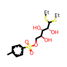 CCSC(SCC)[C@H](O)[C@@H](O)[C@@H](O)COS(=O)(=O)c1ccc(C)cc1